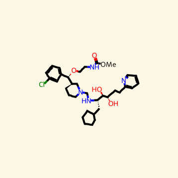 COC(=O)NCCO[C@@H](c1cccc(Cl)c1)[C@@H]1CCCN(CN[C@@H](CC2CCCCC2)[C@@H](O)[C@@H](O)CCc2ccccn2)C1